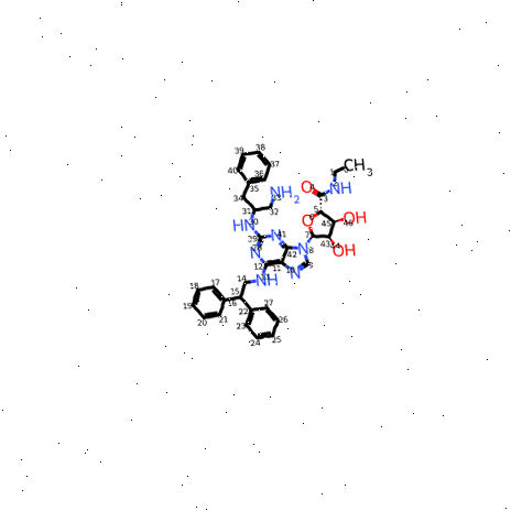 CCNC(=O)[C@H]1O[C@H](n2cnc3c(NCC(c4ccccc4)c4ccccc4)nc(NC(CN)Cc4ccccc4)nc32)[C@H](O)[C@@H]1O